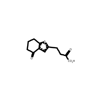 O=C(O)C(=O)CCc1cc2c(s1)CCCC2=O